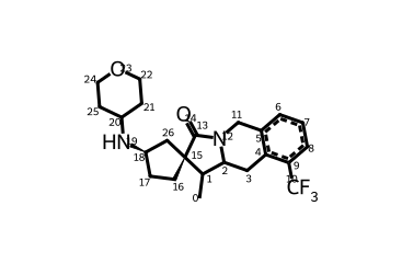 CC1C2Cc3c(cccc3C(F)(F)F)CN2C(=O)[C@]12CC[C@@H](NC1CCOCC1)C2